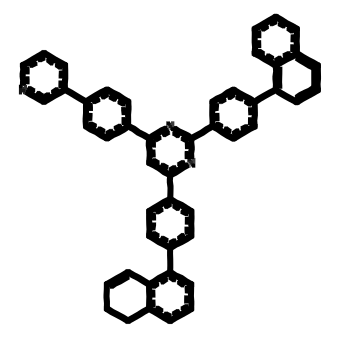 C1=C=c2ccccc2=C(c2ccc(-c3nc(-c4ccc(-c5cccnc5)cc4)cc(-c4ccc(-c5cccc6c5C=CCC6)cc4)n3)cc2)C=1